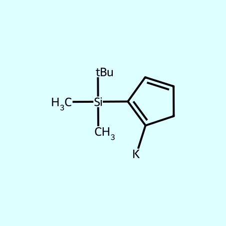 CC(C)(C)[Si](C)(C)C1=[C]([K])CC=C1